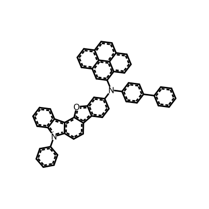 c1ccc(-c2ccc(N(c3ccc4c(c3)oc3c4ccc4c3c3ccccc3n4-c3ccccc3)c3cc4cccc5ccc6cccc3c6c54)cc2)cc1